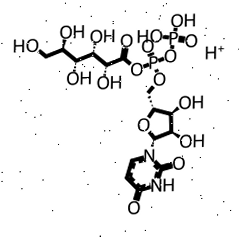 O=C(OP(=O)(OC[C@H]1O[C@@H](n2ccc(=O)[nH]c2=O)[C@H](O)[C@@H]1O)OP(=O)(O)O)[C@H](O)[C@@H](O)[C@H](O)[C@H](O)CO.[H+]